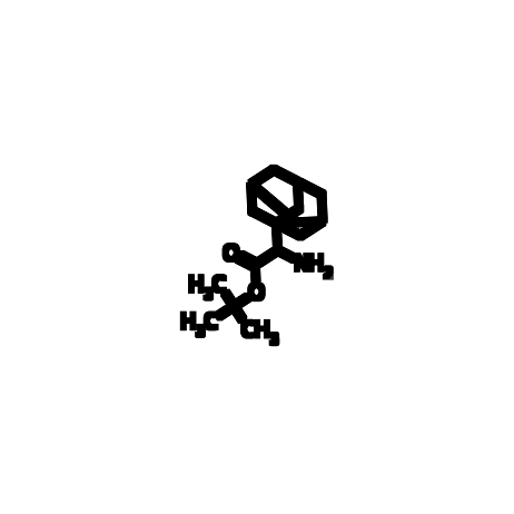 CC(C)(C)OC(=O)C(N)C12CC3CC(CC(C3)C1)C2